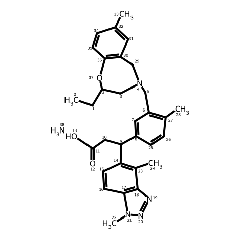 CCC1CN(Cc2cc(C(CC(=O)O)c3ccc4c(nnn4C)c3C)ccc2C)Cc2cc(C)ccc2O1.N